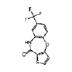 O=C1Nc2cc(C(F)(F)F)ccc2Oc2ccsc21